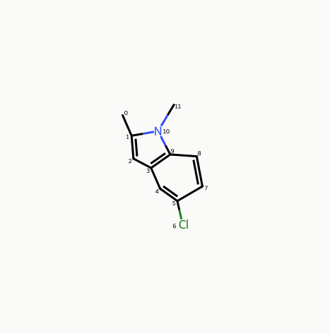 Cc1cc2cc(Cl)ccc2n1C